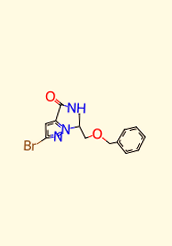 O=C1NCC(COCc2ccccc2)n2nc(Br)cc21